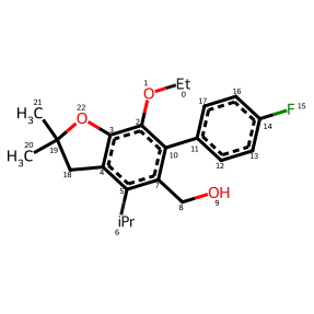 CCOc1c2c(c(C(C)C)c(CO)c1-c1ccc(F)cc1)CC(C)(C)O2